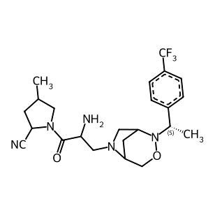 CC1CC(C#N)N(C(=O)C(N)CN2CC3CC2CON3[C@@H](C)c2ccc(C(F)(F)F)cc2)C1